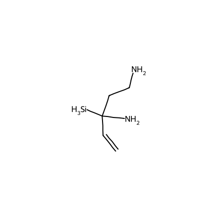 C=CC(N)([SiH3])CCN